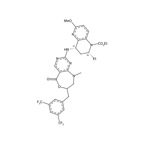 CCOC(=O)N1c2ccc(OC)nc2[C@@H](Nc2ncc3c(n2)N(C)CC(Cc2cc(C(F)(F)F)cc(C(F)(F)F)c2)OC3=O)C[C@H]1CC